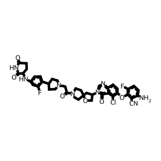 N#Cc1c(N)ccc(F)c1Oc1ccc2ncn(C3COC4(CCN(C(=O)CN5CCC(c6ccc(NC7CCC(=O)NC7=O)cc6F)CC5)CC4)C3)c(=O)c2c1Cl